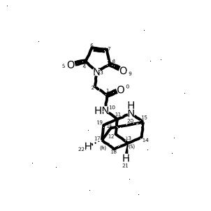 O=C(CN1C(=O)C=CC1=O)NC12C[C@@H]3CC(C[C@@H](C3)C1)N2